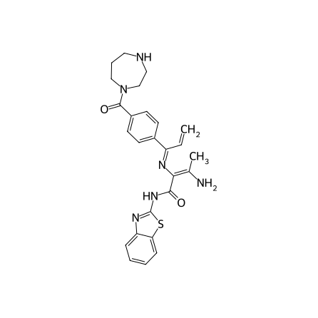 C=C/C(=N\C(C(=O)Nc1nc2ccccc2s1)=C(/C)N)c1ccc(C(=O)N2CCCNCC2)cc1